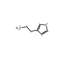 CCCc1ccsc1